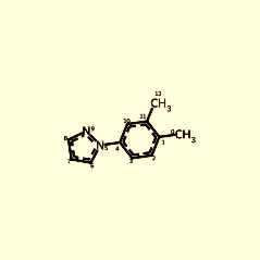 Cc1ccc(-n2cc[c]n2)cc1C